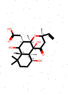 C=C[C@@]1(C)CC(=O)[C@]2(O)[C@@]3(C)[C@@H](O)CCC(C)(C)[C@@H]3C(O)[C@H](CC(=O)O)[C@@]2(C)O1